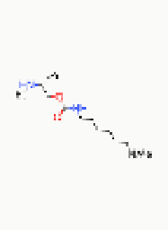 CCN[C@@H](COC(=O)NCCCCCCNC)C(C)C